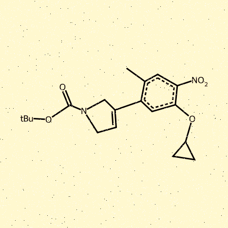 Cc1cc([N+](=O)[O-])c(OC2CC2)cc1C1=CCN(C(=O)OC(C)(C)C)C1